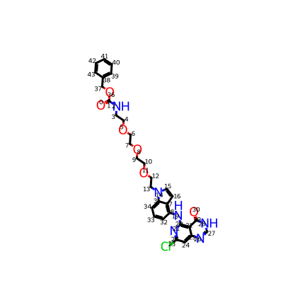 O=C(NCCOCCOCCOCCn1ccc2c(Nc3nc(Cl)cc4nc[nH]c(=O)c34)cccc21)OCc1ccccc1